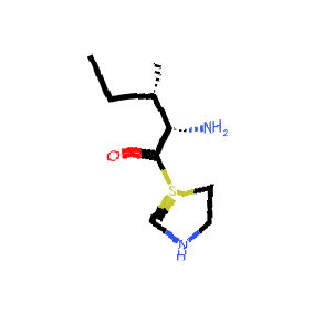 CC[C@H](C)[C@H](N)C(=O)S1=CNCC1